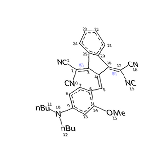 [C-]#[N+]/C(C#N)=C1\C(=Cc2ccc(N(CCCC)CCCC)cc2OC)/C(=C(/C#N)[N+]#[C-])c2ccccc21